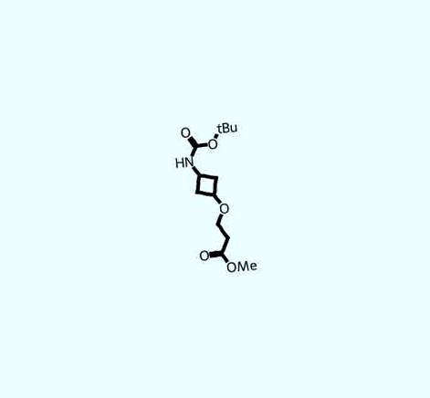 COC(=O)CCOC1CC(NC(=O)OC(C)(C)C)C1